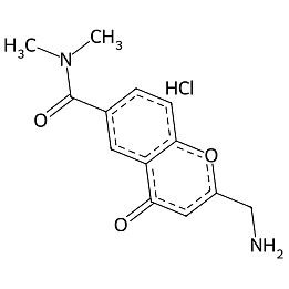 CN(C)C(=O)c1ccc2oc(CN)cc(=O)c2c1.Cl